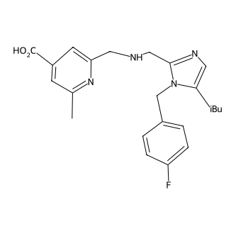 CCC(C)c1cnc(CNCc2cc(C(=O)O)cc(C)n2)n1Cc1ccc(F)cc1